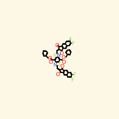 O=C1C(=Cc2nc3c(C(=O)OCc4ccccc4)c4sc(C=C5C(=O)c6cc7cc(F)c(F)cc7cc6C5=O)nc4c(C(=O)OCc4ccccc4)c3s2)C(=O)c2cc3cc(F)c(F)cc3cc21